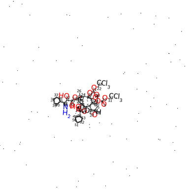 CC(=O)O[C@@]12CO[C@@H]1C[C@H](OC(=O)OCC(Cl)(Cl)Cl)[C@@]1(C)C(=O)[C@H](OC(=O)OCC(Cl)(Cl)Cl)C3=C(C)[C@@H](OC(=O)C(O)[C@@H](N)c4ccccc4)C[C@@](O)([C@@H](OC(=O)c4ccccc4)C12)C3(C)C